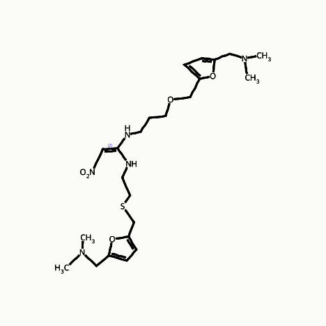 CN(C)Cc1ccc(COCCCN/C(=C/[N+](=O)[O-])NCCSCc2ccc(CN(C)C)o2)o1